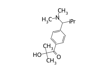 CC(C)C(c1ccc(C(=O)C(C)(C)O)cc1)N(C)C